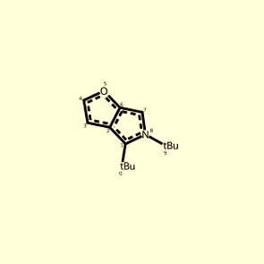 CC(C)(C)c1c2ccoc2cn1C(C)(C)C